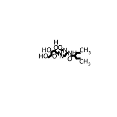 CCCC(CCC)C(=O)Nc1cnn(C2OC(CO)C(O)C2O)c(=O)n1